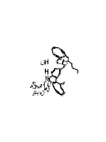 CCCCC(Cc1ccccc1Cl)OCc1ccc(C(=O)N[C@@H](CCSC)C(=O)O)c(-c2ccccc2C)c1.[LiH]